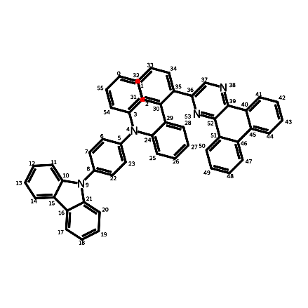 c1ccc(N(c2ccc(-n3c4ccccc4c4ccccc43)cc2)c2ccccc2-c2ccccc2-c2cnc3c4ccccc4c4ccccc4c3n2)cc1